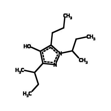 CCCc1c(O)c(C(C)CC)nn1C(C)CC